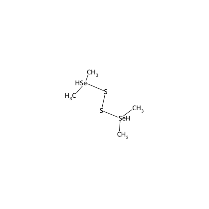 C[SeH](C)SS[SeH](C)C